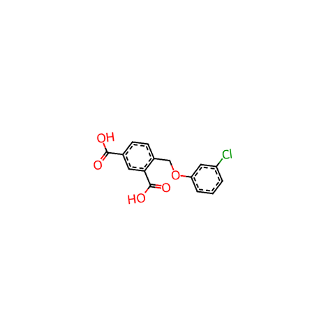 O=C(O)c1ccc(COc2cccc(Cl)c2)c(C(=O)O)c1